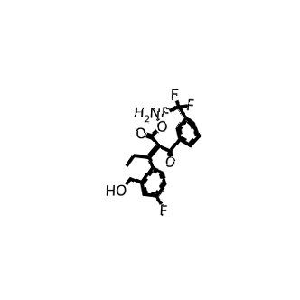 CCC(=C(C(=O)ON)C(=O)c1cccc(C(F)(F)F)c1)c1ccc(F)cc1CO